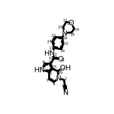 N#CCN1C=Cc2[nH]cc(C(=O)Nc3ccc(N4CCOCC4)cc3)c2C1O